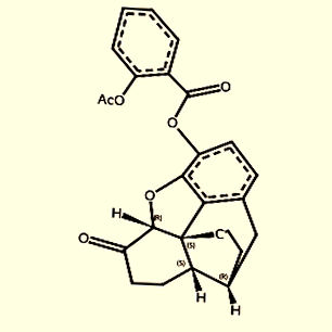 CC(=O)Oc1ccccc1C(=O)Oc1ccc2c3c1O[C@H]1C(=O)CC[C@H]4[C@H](CCC[C@]314)C2